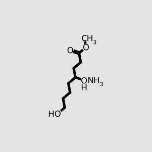 COC(=O)CCC(O)CCCCO.N